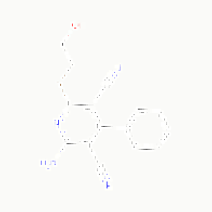 N#Cc1c(N)nc(SCCO)c(C#N)c1-c1ccccc1